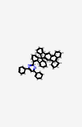 c1ccc(-c2cc(-c3ccccc3)nc(-c3cccc4c3-c3ccccc3C43c4ccccc4-c4cc5c6ccccc6c6ccccc6c5cc43)n2)cc1